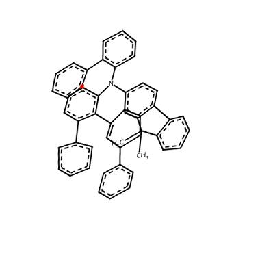 CC1(C)c2ccccc2-c2ccc(N(c3ccccc3-c3ccccc3)c3cccc(-c4ccccc4)c3C3=CC(c4ccccc4)CC=C3)cc21